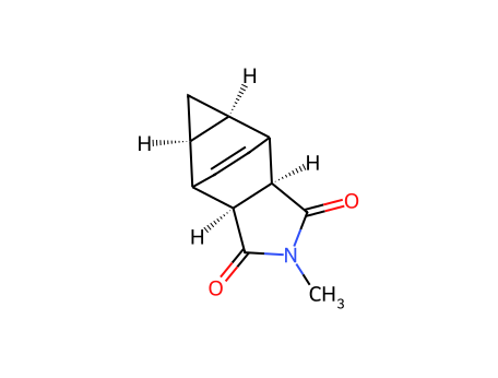 CN1C(=O)[C@@H]2C3C=CC([C@H]4C[C@@H]34)[C@@H]2C1=O